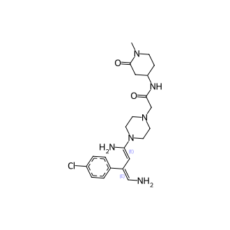 CN1CCC(NC(=O)CN2CCN(/C(N)=C/C(=C\N)c3ccc(Cl)cc3)CC2)CC1=O